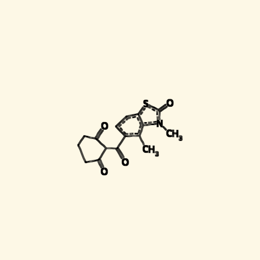 Cc1c(C(=O)C2C(=O)CCCC2=O)ccc2sc(=O)n(C)c12